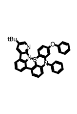 CC(C)(C)c1cnc2c(c1)c1cccc3c1n2B1c2ccc(Oc4ccccc4)cc2N(c2ccccc2)c2cccc-3c21